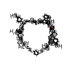 CC(=O)[C@@H]1CSCc2cccc(c2)CSCCC(=O)N[C@@H](C(C)(C)C)C(=O)N[C@@H](Cc2ccc(O)cc2)C(=O)N2CCC[C@H]2C(=O)N[C@@H]([C@@H](C)O)C(=O)N[C@@H](Cc2c[nH]c3ncccc23)C(=O)NC(C)(C)C(=O)N[C@@H](C)C(=O)N[C@@H](CCc2ccc(O)cc2)C(=O)N[C@](C)(C(N)=O)C(C)O[C@@H](C)[C@H](C)C(=O)N1